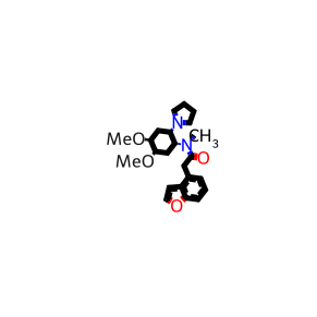 CO[C@H]1C[C@@H](N2CCCC2)[C@H](N(C)C(=O)Cc2cccc3occc23)C[C@H]1OC